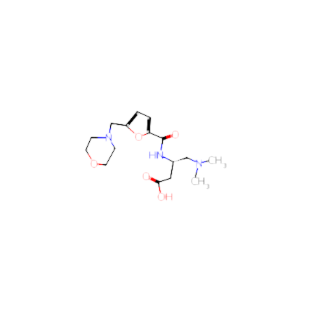 CN(C)C[C@@H](CC(=O)O)NC(=O)c1ccc(CN2CCOCC2)o1